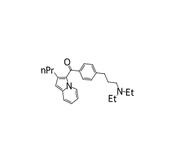 CCCc1cc2ccccn2c1C(=O)c1ccc(CCCN(CC)CC)cc1